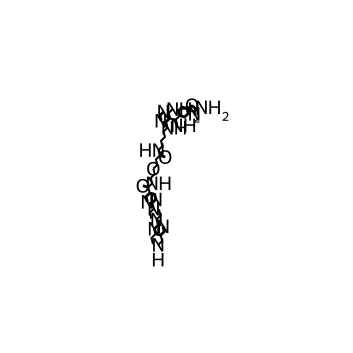 N=C(c1ccc2oc(N)nc2c1)c1c(N)ncnc1NCCCCNC(=O)CCOCCNC(=O)c1cnc(N2CCN(c3ncc4c(n3)CCNC4)CC2)nc1